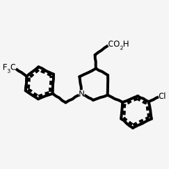 O=C(O)CC1CC(c2cccc(Cl)c2)CN(Cc2ccc(C(F)(F)F)cc2)C1